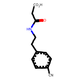 N#Cc1ccc(CCNC(=O)CC(=O)O)cc1